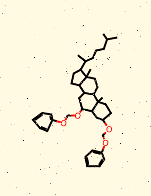 CC(C)CCCC(C)C1CCC2C3CC(OCOc4ccccc4)C4CC(OCOc5ccccc5)CCC4(C)C3CCC12C